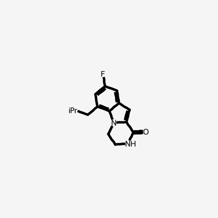 CC(C)Cc1cc(F)cc2cc3n(c12)CCNC3=O